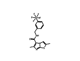 Cc1cn2c(C(=O)NCc3cccc(S(F)(F)(F)(F)F)c3)c(C)nc2s1